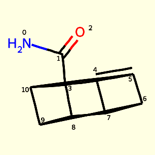 NC(=O)C12C3=C4C5C3C1C5C42